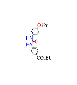 CCOC(=O)c1ccc(NC(=O)Nc2ccc(OC(C)C)cc2)cc1